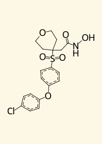 O=C(CC1(S(=O)(=O)c2ccc(Oc3ccc(Cl)cc3)cc2)CCOCC1)NO